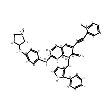 Cc1ccccc1C#Cc1cc2cnc(Nc3ccc(OC4CCN(C)C4)cc3)nc2n(Cc2ccsc2-c2ccncc2)c1=O